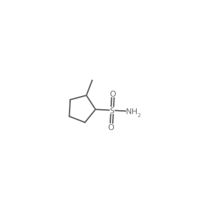 CC1CCCC1S(N)(=O)=O